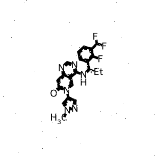 CC[C@@H](Nc1ncnc2cc(=O)n(-c3cnn(C)c3)cc12)c1cccc(C(F)F)c1F